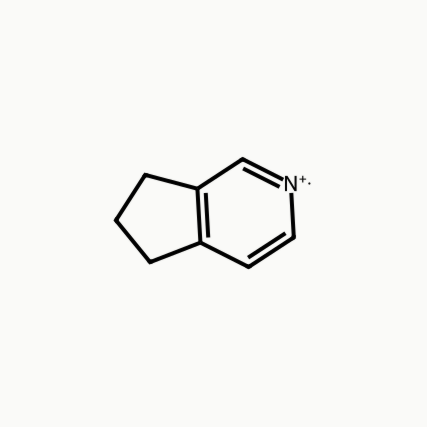 C1=CC2=C(C=[N+]1)CCC2